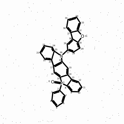 O=P1(c2ccccc2)c2ccccc2-c2cc3c(cc21)c1ccccc1n3-c1ccc2oc3ccccc3c2c1